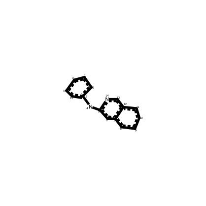 c1ccc([N]c2cc3ccccc3cn2)cc1